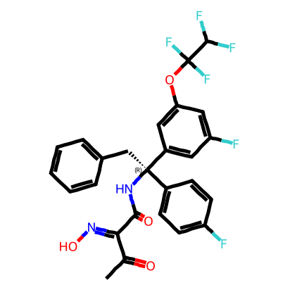 CC(=O)C(=NO)C(=O)N[C@](Cc1ccccc1)(c1ccc(F)cc1)c1cc(F)cc(OC(F)(F)C(F)F)c1